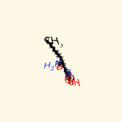 CCCCCCCCCCCCCC(CCCCc1cn(S(=O)(=O)O)cn1)C(N)=O